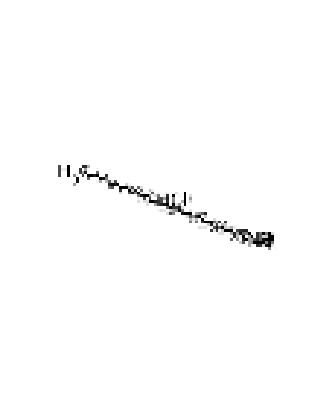 CCCCCCCCCCCCCCCCCCCCCCCCCCCCCCCCNCC1CO1.Cl